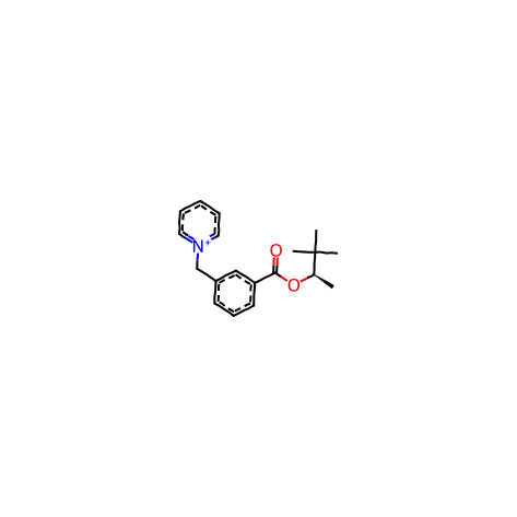 C[C@@H](OC(=O)c1cccc(C[n+]2ccccc2)c1)C(C)(C)C